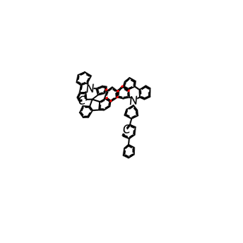 c1ccc(-c2ccc(-c3ccc(N(c4cccc(-c5ccc6c(c5)C5(c7ccccc7-6)c6ccccc6-n6c7ccccc7c7cccc5c76)c4)c4ccccc4-c4cccc(-c5ccccc5)c4)cc3)cc2)cc1